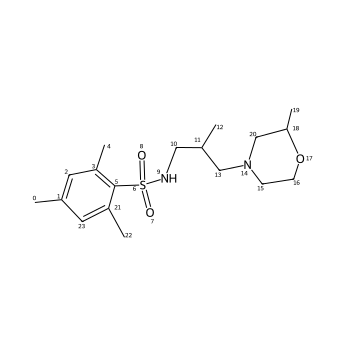 Cc1cc(C)c(S(=O)(=O)NCC(C)CN2CCOC(C)C2)c(C)c1